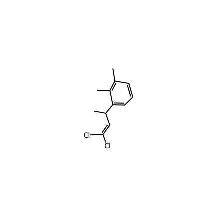 Cc1cccc(C(C)C=C(Cl)Cl)c1C